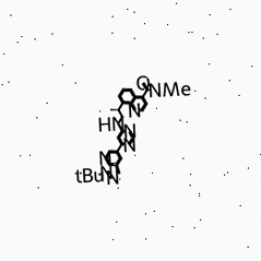 CNC(=O)c1ccnc2c([C@H](C)CNc3cc(-c4cnc5c(cnn5C(C)(C)C)c4)ncn3)cccc12